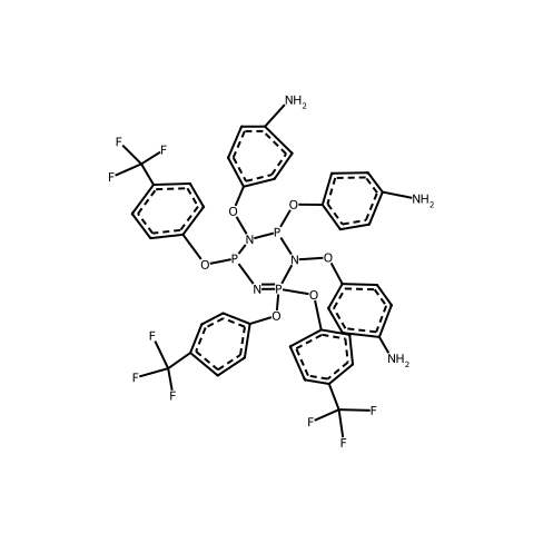 Nc1ccc(ON2P(Oc3ccc(C(F)(F)F)cc3)N=P(Oc3ccc(C(F)(F)F)cc3)(Oc3ccc(C(F)(F)F)cc3)N(Oc3ccc(N)cc3)P2Oc2ccc(N)cc2)cc1